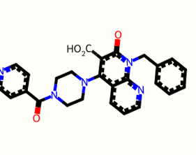 O=C(O)c1c(N2CCN(C(=O)c3ccncc3)CC2)c2cccnc2n(Cc2ccccc2)c1=O